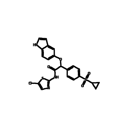 O=C(Nc1n[c]c(Cl)s1)C(Oc1ccc2[nH]ccc2c1)c1ccc(S(=O)(=O)C2CC2)cc1